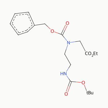 CCOC(=O)CN(CCNC(=O)OC(C)(C)C)C(=O)OCc1ccccc1